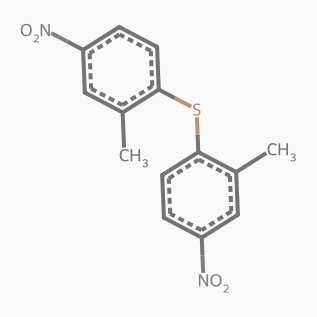 Cc1cc([N+](=O)[O-])ccc1Sc1ccc([N+](=O)[O-])cc1C